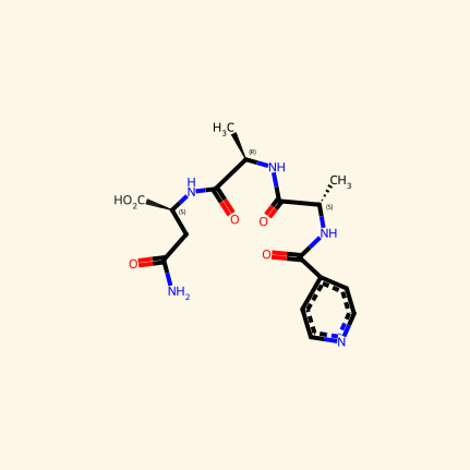 C[C@H](NC(=O)c1ccncc1)C(=O)N[C@H](C)C(=O)N[C@@H](CC(N)=O)C(=O)O